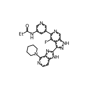 CCC(=O)Nc1cncc(-c2ncc3[nH]nc(-c4nc5c(N6CCCCC6)nccc5[nH]4)c3c2F)c1